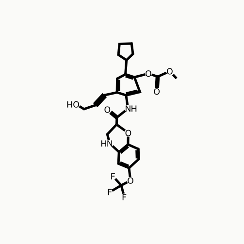 COC(=O)Oc1cc(NC(=O)C2CNc3cc(OC(F)(F)F)ccc3O2)c(C#CCO)cc1C1CCCC1